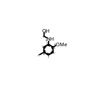 COc1ccc(C)cc1NCO